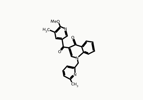 COc1ncc(C(=O)c2cn(Cc3cccc(C)n3)c3ccccc3c2=O)cc1C